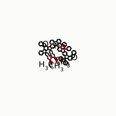 CCCCCCCC1(CCCCCCC)c2cc(N(c3ccc4c(c3)C(c3ccccc3)(c3ccccc3)c3cc5c(cc3-4)C(c3ccccc3)(c3ccccc3)c3ccc4oc6ccccc6c4c3-5)c3c(-c4ccccc4)cccc3-c3ccccc3)ccc2-c2c1c1c(c3c2oc2ccccc23)-c2ccccc2C1(CCCCCCC)CCCCCCC